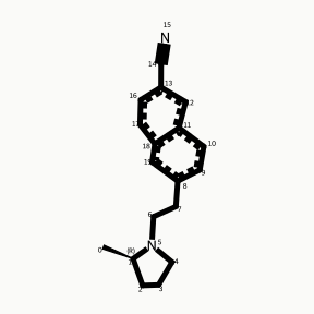 C[C@@H]1CCCN1CCc1ccc2cc(C#N)ccc2c1